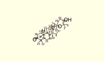 CC1(C)O[C@](C)([C@H]2CC[C@@]3(C)[C@@H]2CC[C@@H]2[C@@]4(C)CCC(=O)C(C)(C)C4CC[C@]23C)CCC1O